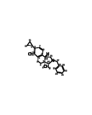 C[C@]12CCc3c(ccc(C4CC4)c3Cl)[C@@H]1CN(Cc1ccccc1)C2